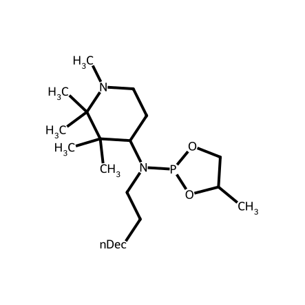 CCCCCCCCCCCCN(C1CCN(C)C(C)(C)C1(C)C)P1OCC(C)O1